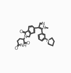 Cn1ncc(-c2ccc3c(c2)CN(C2CCC(=O)NC2=O)C3=O)c1-c1cccc(N2CCCC2)c1